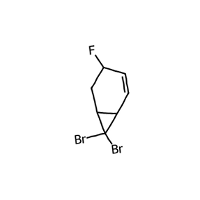 FC1C=CC2C(C1)C2(Br)Br